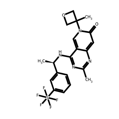 Cc1nc(N[C@H](C)c2cccc(S(F)(F)(F)(F)F)c2)c2cn(C3(C)COC3)c(=O)cc2n1